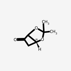 CC1(C)OC2C(=O)C[C@H]2O1